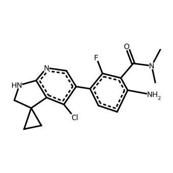 CN(C)C(=O)c1c(N)ccc(-c2cnc3c(c2Cl)C2(CC2)CN3)c1F